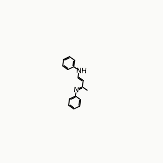 CC(C=CNc1ccccc1)=Nc1ccccc1